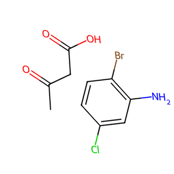 CC(=O)CC(=O)O.Nc1cc(Cl)ccc1Br